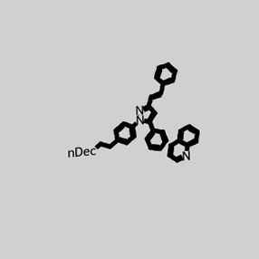 CCCCCCCCCCCCc1ccc(-n2nc(C=Cc3ccccc3)cc2-c2ccccc2)cc1.c1ccc2ncccc2c1